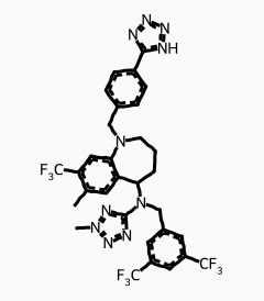 Cc1cc2c(cc1C(F)(F)F)N(Cc1ccc(-c3nnn[nH]3)cc1)CCCC2N(Cc1cc(C(F)(F)F)cc(C(F)(F)F)c1)c1nnn(C)n1